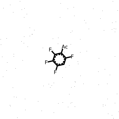 CC(=O)c1c(F)cc(F)c(F)c1F